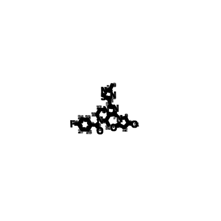 Cc1nsc(-c2nc(N3CC(=O)CC3=O)c3n2CCN(C(=O)c2ccc(F)cc2)C3C)n1